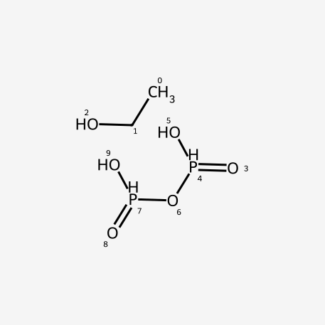 CCO.O=[PH](O)O[PH](=O)O